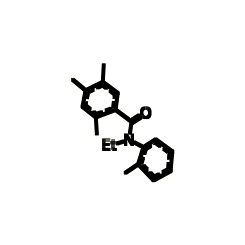 CCN(C(=O)c1cc(C)c(C)cc1C)c1ccccc1C